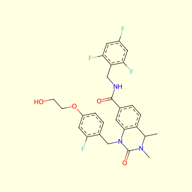 CC1c2ccc(C(=O)NCc3c(F)cc(F)cc3F)cc2N(Cc2ccc(OCCO)cc2F)C(=O)N1C